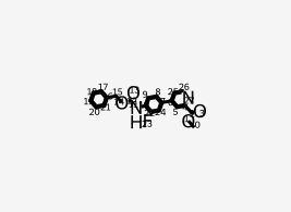 COC(=O)c1cc(-c2ccc(NC(=O)OCc3ccccc3)c(F)c2)ccn1